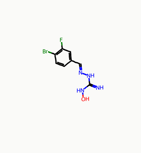 N=C(NO)NN=Cc1ccc(Br)c(F)c1